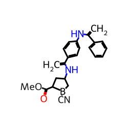 C=C(Nc1ccc(C(=C)NC2CB(C#N)C(C(=O)OC)C2)cc1)c1ccccc1